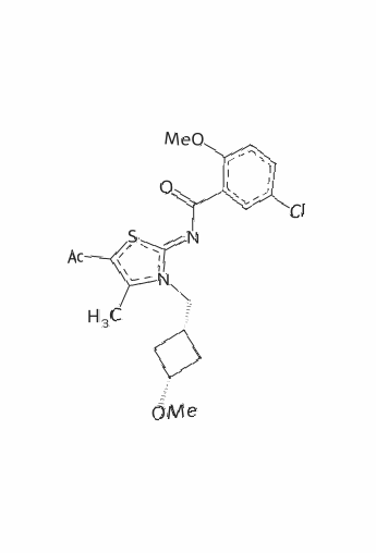 COc1ccc(Cl)cc1C(=O)/N=c1\sc(C(C)=O)c(C)n1C[C@H]1C[C@@H](OC)C1